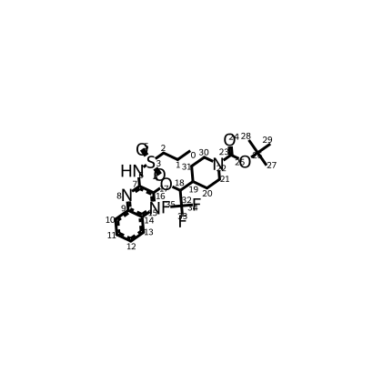 CCCS(=O)(=O)Nc1nc2ccccc2nc1OC(C1CCN(C(=O)OC(C)(C)C)CC1)C(F)(F)F